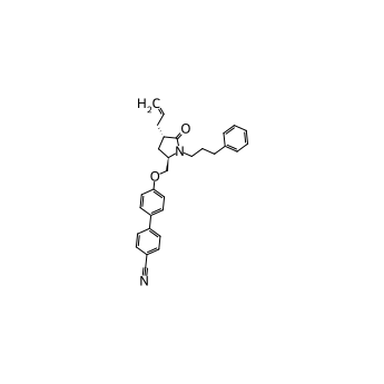 C=CC[C@H]1C[C@H](COc2ccc(-c3ccc(C#N)cc3)cc2)N(CCCc2ccccc2)C1=O